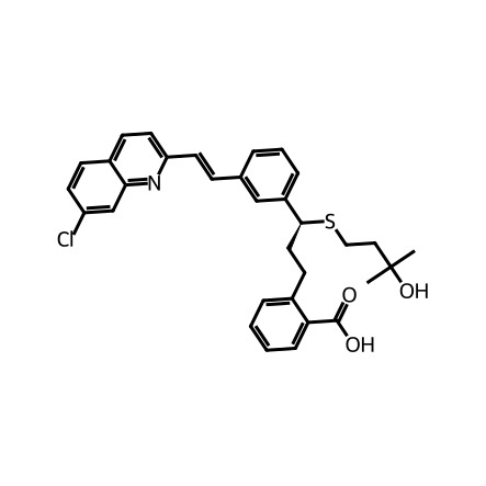 CC(C)(O)CCS[C@@H](CCc1ccccc1C(=O)O)c1cccc(C=Cc2ccc3ccc(Cl)cc3n2)c1